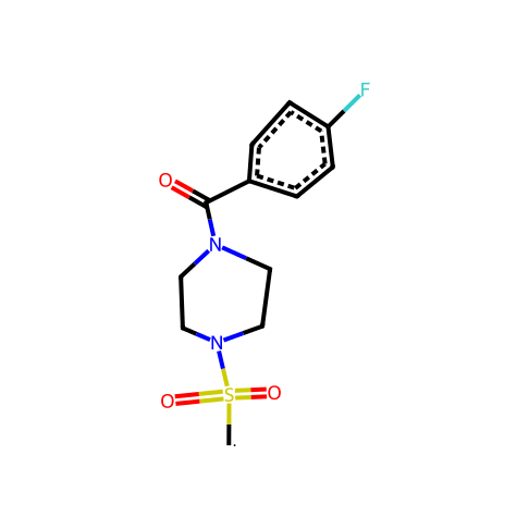 [CH2]S(=O)(=O)N1CCN(C(=O)c2ccc(F)cc2)CC1